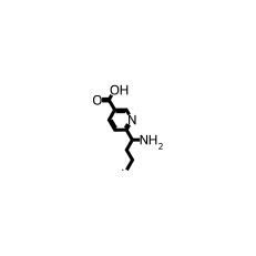 [CH2]CCC(N)c1ccc(C(=O)O)cn1